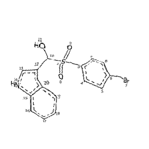 O=S(=O)(c1ccc(Br)cc1)C(O)c1c[nH]c2ccccc12